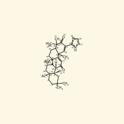 CC(=O)[C@]12CCC(C)(C)C[C@H]1[C@H]1C(=O)C=C3[C@@]4(C)C=C(c5nnn[nH]5)C(=O)C(C)(C)[C@@H]4CC[C@@]3(C)[C@]1(C)CC2